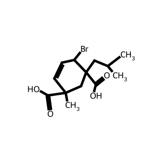 CC(C)CC1(C(=O)O)CC(C)(C(=O)O)C=CC1Br